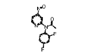 CC(=O)N(c1cc(N=O)ccn1)c1ccc(F)cc1F